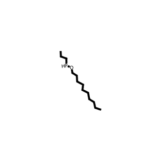 CCCCCCCCCCOPCCC